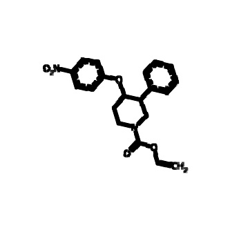 C=COC(=O)N1CCC(Oc2ccc([N+](=O)[O-])cc2)C(c2ccccc2)C1